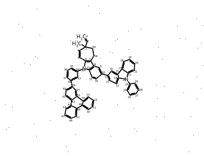 C=CC1(C)C=Cc2c(c3cc(-c4ccc5c(c4)c4ccccc4n5-c4ccccc4)ccc3n2-c2cccc(-c3ccc4c5ccccc5c5ccccc5c4c3)c2)CC1